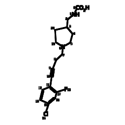 O=C(O)NCC1CCN(CCC#Cc2ccc(Cl)cc2F)CC1